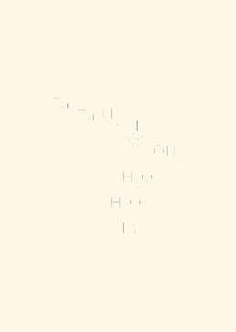 O.O.O.O.O.[Ta].[Ta].[Ta]